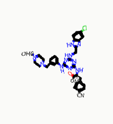 COC(=O)[C@H](Cc1ccc(C#N)cc1)Nc1nc(NCc2nc3cc(Cl)ccc3[nH]2)nc(Nc2cccc(CN3CCN(C=O)CC3)c2)n1